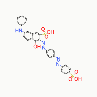 O=S(=O)(O)c1ccc(N=Nc2ccc(N=Nc3c(S(=O)(=O)O)cc4cc(Nc5ccccc5)ccc4c3O)cc2)cc1